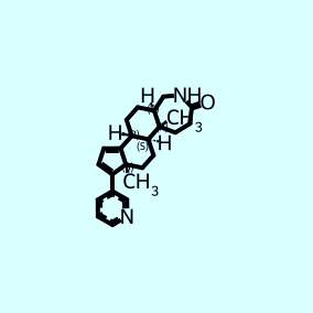 C[C@]12CC[C@H]3[C@@H](CC[C@H]4CNC(=O)CC[C@@]43C)C1=CC=C2c1cccnc1